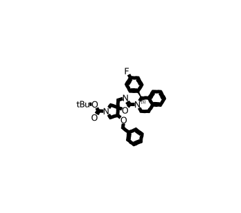 CC(C)(C)OC(=O)N1CC(OCc2ccccc2)C2(CN=C(N3CCc4ccccc4[C@@H]3c3ccc(F)cc3)O2)C1